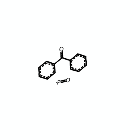 O=C(c1ccccc1)c1ccccc1.O=[P]